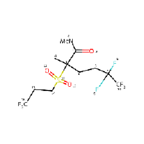 CNC(=O)C(C)(CCC(F)(F)C(F)(F)F)S(=O)(=O)CCC(F)(F)F